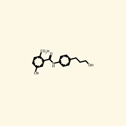 N#Cc1ccc(C(=O)O)c(C(=O)Nc2ccc(CCCO)cc2)c1